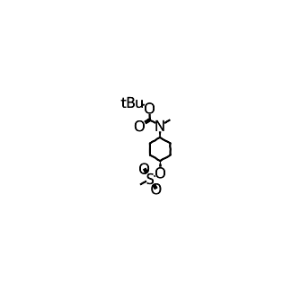 CN(C(=O)OC(C)(C)C)[C@H]1CC[C@@H](OS(C)(=O)=O)CC1